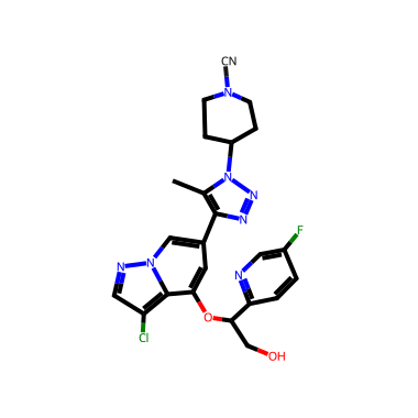 Cc1c(-c2cc(OC(CO)c3ccc(F)cn3)c3c(Cl)cnn3c2)nnn1C1CCN(C#N)CC1